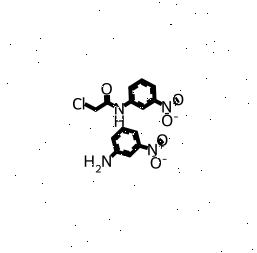 Nc1cccc([N+](=O)[O-])c1.O=C(CCl)Nc1cccc([N+](=O)[O-])c1